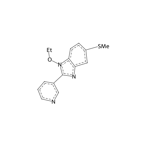 CCOn1c(-c2cccnc2)nc2cc(SC)ccc21